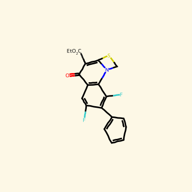 CCOC(=O)c1c2n(c3c(F)c(-c4ccccc4)c(F)cc3c1=O)CS2